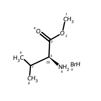 Br.COC(=O)[C@@H](N)C(C)C